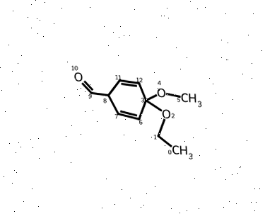 CCOC1(OC)C=CC(C=O)C=C1